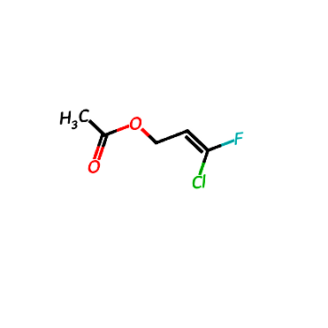 CC(=O)OC/C=C(/F)Cl